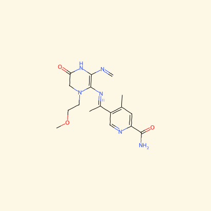 C=NC1=C(/N=C(\C)c2cnc(C(N)=O)cc2C)N(CCOC)CC(=O)N1